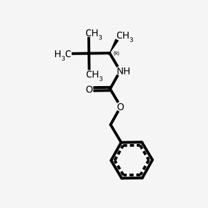 C[C@@H](NC(=O)OCc1ccccc1)C(C)(C)C